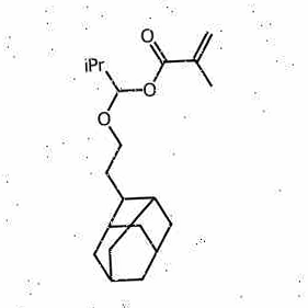 C=C(C)C(=O)OC(OCCC1C2CC3CC(C2)CC1C3)C(C)C